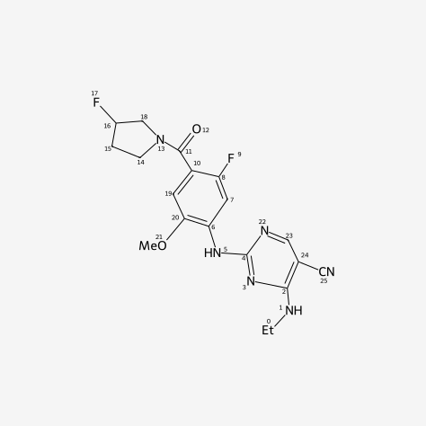 CCNc1nc(Nc2cc(F)c(C(=O)N3CCC(F)C3)cc2OC)ncc1C#N